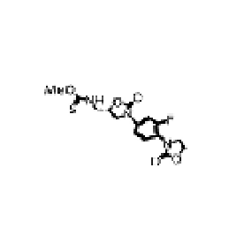 COC(=S)NC[C@H]1CN(c2ccc(N3CCOC3=O)c(F)c2)C(=O)O1